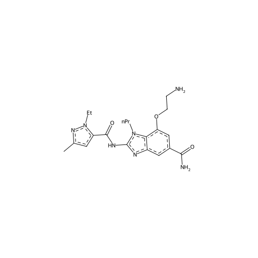 CCCn1c(NC(=O)c2cc(C)nn2CC)nc2cc(C(N)=O)cc(OCCN)c21